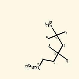 CCCCCCCC(C)(C)CC(C)(C)S